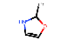 CC(C)C1NC=CO1